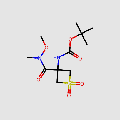 CON(C)C(=O)C1(NC(=O)OC(C)(C)C)CS(=O)(=O)C1